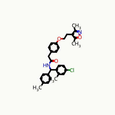 Cc1ccc(C(NC(=O)Cc2ccc(OCCc3c(C)noc3C)cc2)c2ccc(Cl)cc2C)cc1